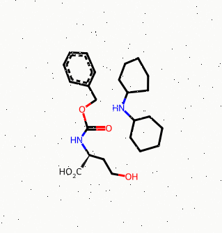 C1CCC(NC2CCCCC2)CC1.O=C(N[C@@H](CCO)C(=O)O)OCc1ccccc1